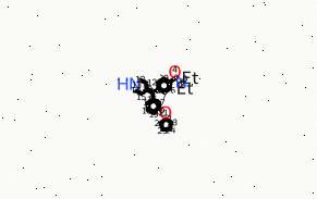 CCN(CC)C(=O)c1ccc(C(=C2CCNCC2)c2cccc(OC3CCCC3)c2)cc1